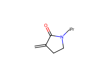 C=C1CCN(C(C)C)C1=O